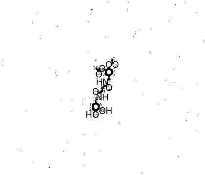 CC(=O)Oc1ccc(CNC(=O)CCC(=O)NCc2ccc(O)c(O)c2)cc1OC(C)=O